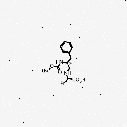 CC(C)C(NC[C@H](Cc1ccccc1)NC(=O)OC(C)(C)C)C(=O)O